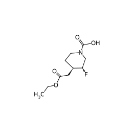 CCOC(=O)C[C@H]1CCN(C(=O)O)C[C@H]1F